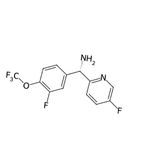 N[C@@H](c1ccc(OC(F)(F)F)c(F)c1)c1ccc(F)cn1